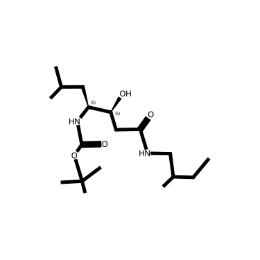 CCC(C)CNC(=O)C[C@H](O)[C@H](CC(C)C)NC(=O)OC(C)(C)C